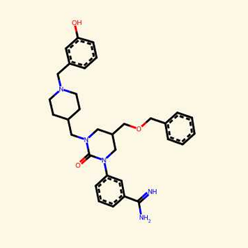 N=C(N)c1cccc(N2CC(COCc3ccccc3)CN(CC3CCN(Cc4cccc(O)c4)CC3)C2=O)c1